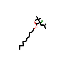 CCCCCCCCCCOC(=O)C(F)(C=C(C)C)C(C)(C)C